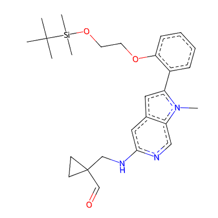 Cn1c(-c2ccccc2OCCO[Si](C)(C)C(C)(C)C)cc2cc(NCC3(C=O)CC3)ncc21